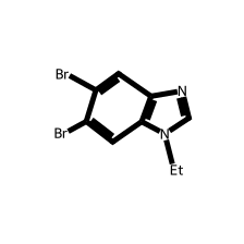 CCn1cnc2cc(Br)c(Br)cc21